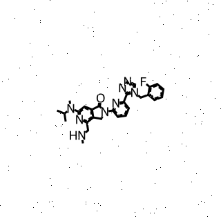 CNCc1nc(N(C)C(C)C)cc2c1CN(c1cccc(-c3nncn3Cc3ccccc3F)n1)C2=O